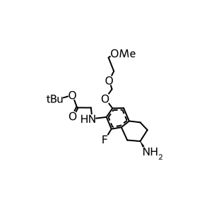 COCCOCOc1cc2c(c(F)c1NCC(=O)OC(C)(C)C)C[C@H](N)CC2